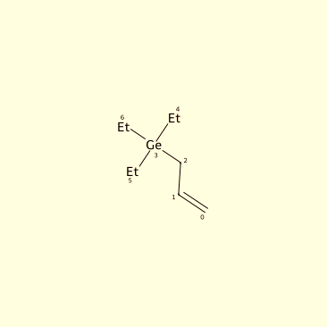 C=C[CH2][Ge]([CH2]C)([CH2]C)[CH2]C